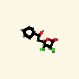 O=C1OC(CC(=O)c2ccccc2)C(Cl)=C1Cl